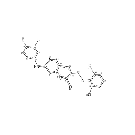 Cc1cc(Nc2cc3[nH]c(=O)c(CCc4c(Cl)cccc4Cl)cc3cn2)ccc1F